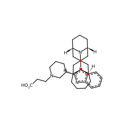 O=C(O)CCN1CCCC(c2nc3ccccc3n2C2C[C@H]3CCC[C@@H](C2)N3C2C[C@H]3CCCC[C@@H](C2)C3)C1